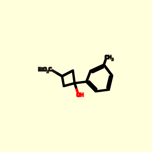 CCOC(=O)C1CC(O)(c2cccc(C)c2)C1